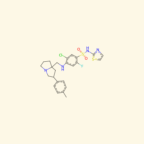 Cc1ccc(C2CN3CCCC3(CNc3cc(F)c(S(=O)(=O)Nc4nccs4)cc3Cl)C2)cc1